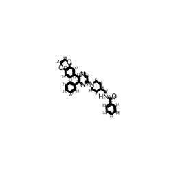 O=C(NCC1CCN(c2cnc(-c3ccc4c(c3)OCCO4)c(-c3ccccc3)n2)CC1)c1ccccc1